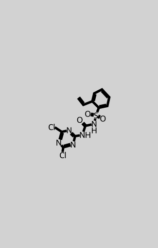 C=Cc1ccccc1S(=O)(=O)NC(=O)Nc1nc(Cl)nc(Cl)n1